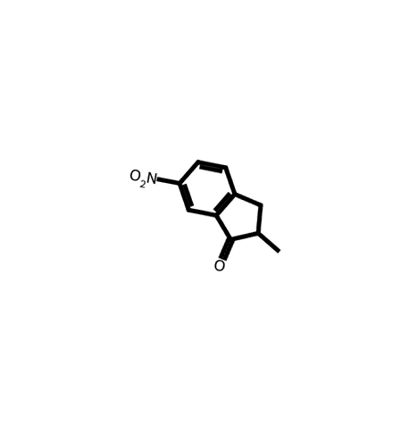 CC1Cc2ccc([N+](=O)[O-])cc2C1=O